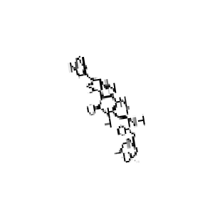 C[C@H]1CN(CC(=O)Nc2cnc3c(c2)[nH]c(=O)c2c3nn3cc(-c4cnn(C)c4)sc23)C[C@H](C)O1